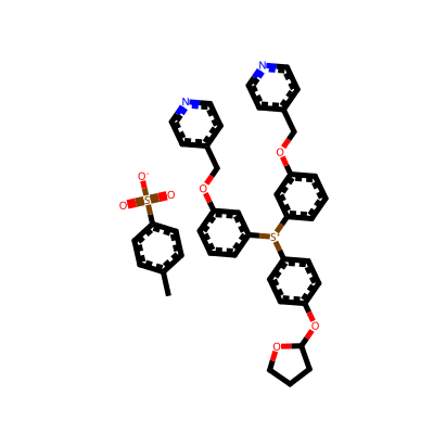 Cc1ccc(S(=O)(=O)[O-])cc1.c1cc(OCc2ccncc2)cc([S+](c2ccc(OC3CCCO3)cc2)c2cccc(OCc3ccncc3)c2)c1